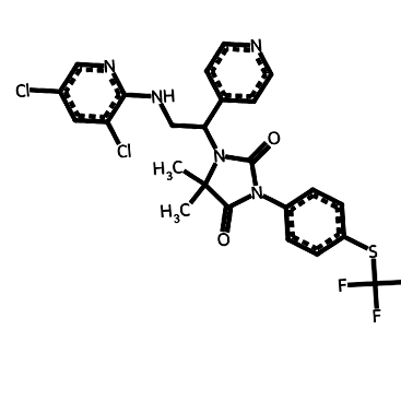 CC1(C)C(=O)N(c2ccc(SC(F)(F)F)cc2)C(=O)N1C(CNc1ncc(Cl)cc1Cl)c1ccncc1